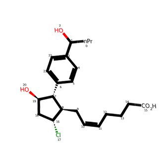 CCCC(O)c1ccc([C@@H]2[C@@H](C/C=C\CCCC(=O)O)[C@H](Cl)C[C@H]2O)cc1